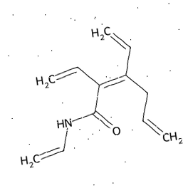 C=CCC(C=C)=C(C=C)C(=O)NC=C